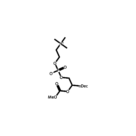 CCCCCCCCCCC(COP(=O)([O-])OCC[N+](C)(C)C)OC(=O)OC